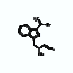 C=CC(CCCC)Cn1nc(C(=C)C(C)C)c2ccccc21